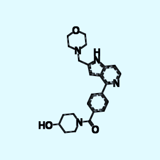 O=C(c1ccc(-c2nccc3[nH]c(CN4CCOCC4)cc23)cc1)N1CCC(O)CC1